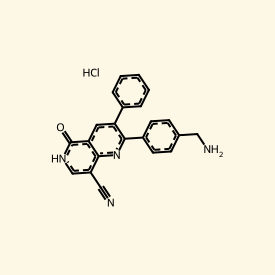 Cl.N#Cc1c[nH]c(=O)c2cc(-c3ccccc3)c(-c3ccc(CN)cc3)nc12